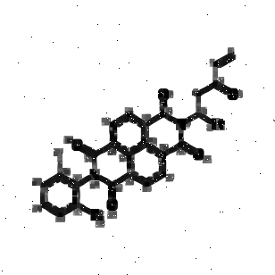 C=CC(=O)CC(CC)N1C(=O)c2ccc3c4c(ccc(c24)C1=O)C(=O)N(c1c(C)cccc1CC)C3=O